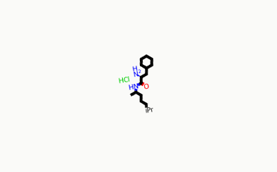 CC(C)CCCC(C)NC(=O)[C@H](N)CC1CCCCC1.Cl